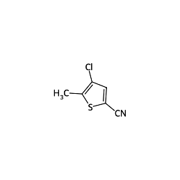 Cc1sc(C#N)cc1Cl